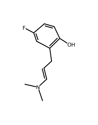 CN(C)C=CCc1cc(F)ccc1O